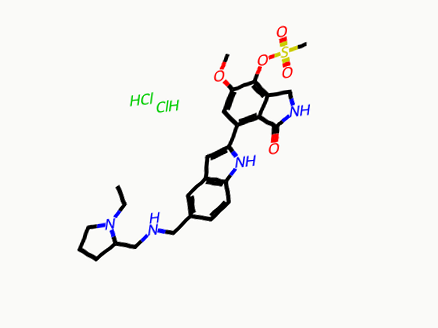 CCN1CCCC1CNCc1ccc2[nH]c(-c3cc(OC)c(OS(C)(=O)=O)c4c3C(=O)NC4)cc2c1.Cl.Cl